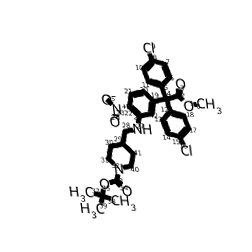 COC(=O)C(c1ccc(Cl)cc1)(c1ccc(Cl)cc1)c1ccc([N+](=O)[O-])c(NCC2CCN(C(=O)OC(C)(C)C)CC2)c1